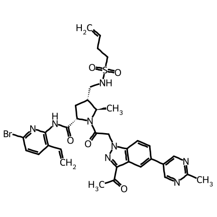 C=CCCS(=O)(=O)NC[C@H]1C[C@@H](C(=O)Nc2nc(Br)ccc2C=C)N(C(=O)Cn2nc(C(C)=O)c3cc(-c4cnc(C)nc4)ccc32)[C@@H]1C